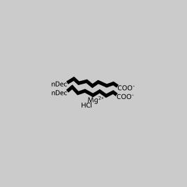 CCCCCCCCCCCCCCCCCC(=O)[O-].CCCCCCCCCCCCCCCCCC(=O)[O-].Cl.[Mg+2]